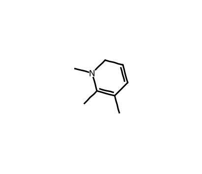 CC1=C(C)N(C)CC=C1